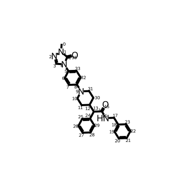 Cn1ncn(-c2ccc(N3CCC(C(C(=O)NCc4ccccc4)c4ccccc4)CC3)cc2)c1=O